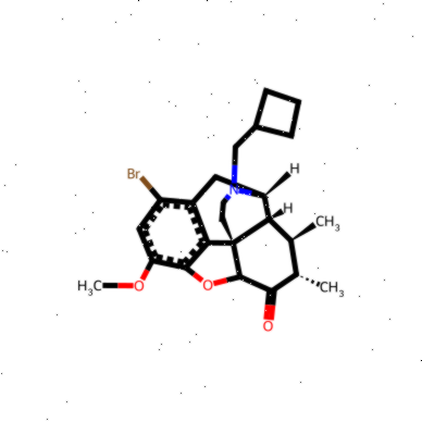 COc1cc(Br)c2c3c1OC1C(=O)[C@@H](C)[C@H](C)[C@H]4[C@@H](C2)N(CC2CCC2)CC[C@]314